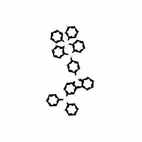 c1ccc(N(c2ccccc2)c2ccc3c(c2)c2ccccc2n3-c2ccc(B3c4ccccc4[Si](c4ccccc4)(c4ccccc4)c4ccccc43)cc2)cc1